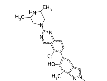 Cc1c(O)c(-c2ccc3nc(N4CC(C)NC(C)C4)ncc3c2Cl)cc2cn(C)nc12